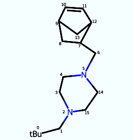 CC(C)(C)CN1CCN(CC2CC3C=CC2C3)CC1